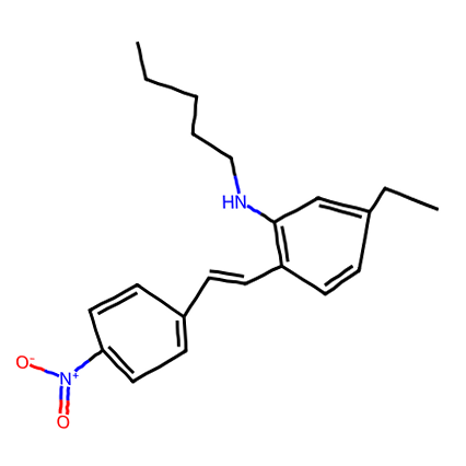 CCCCCNc1cc(CC)ccc1C=Cc1ccc([N+](=O)[O-])cc1